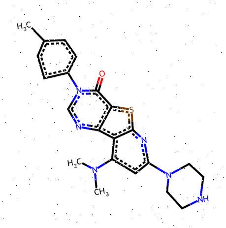 Cc1ccc(-n2cnc3c(sc4nc(N5CCNCC5)cc(N(C)C)c43)c2=O)cc1